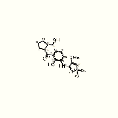 COC1=NS(=O)(=O)N=C1Nc1cccc(C(=O)N2CCC[C@H]2CO)c1O